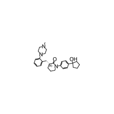 CN1CCN(c2ccccc2C[C@H]2CCCN(c3ccc(C4(O)CCCC4)cc3)C2=O)CC1